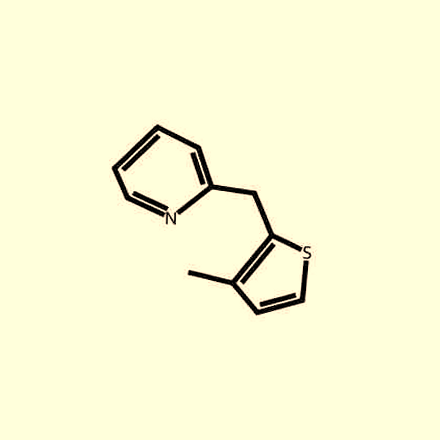 Cc1ccsc1Cc1ccccn1